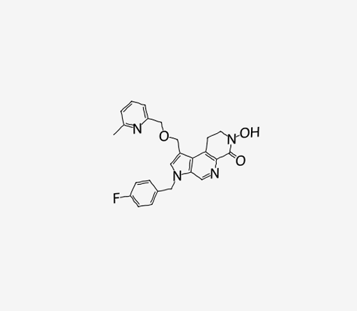 Cc1cccc(COCc2cn(Cc3ccc(F)cc3)c3cnc4c(c23)CCN(O)C4=O)n1